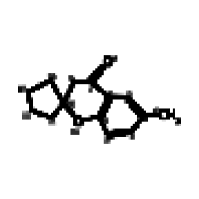 Cc1ccc2c(c1)C(=O)CC1(CCCC1)O2